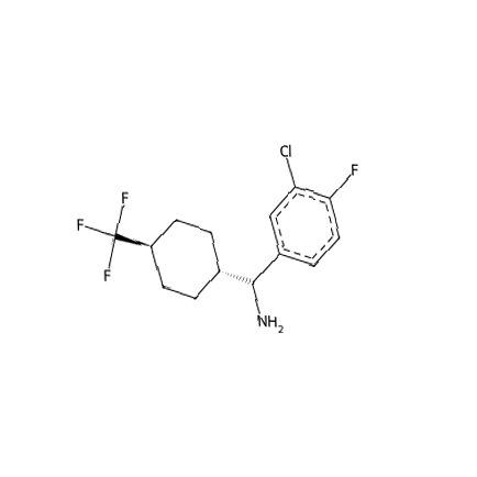 NC(c1ccc(F)c(Cl)c1)[C@H]1CC[C@H](C(F)(F)F)CC1